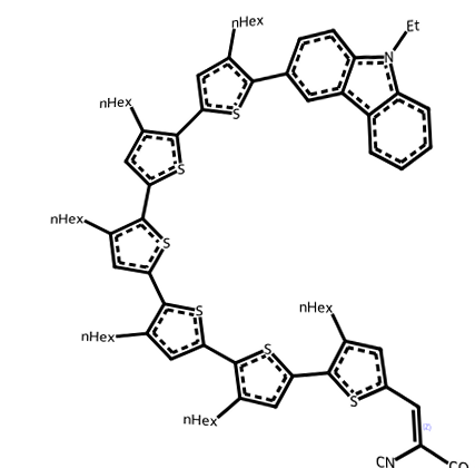 [C-]#[N+]/C(=C\c1cc(CCCCCC)c(-c2cc(CCCCCC)c(-c3cc(CCCCCC)c(-c4cc(CCCCCC)c(-c5cc(CCCCCC)c(-c6cc(CCCCCC)c(-c7ccc8c(c7)c7ccccc7n8CC)s6)s5)s4)s3)s2)s1)C(=O)O